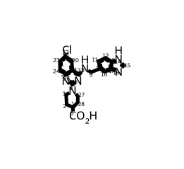 O=C(O)C1CCN(c2nc(NCc3ccc4[nH]cnc4c3)c3cc(Cl)ccc3n2)CC1